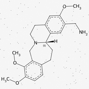 COc1cc2c(cc1CN)[C@@H]1CCc3ccc(OC)c(OC)c3CN1CC2